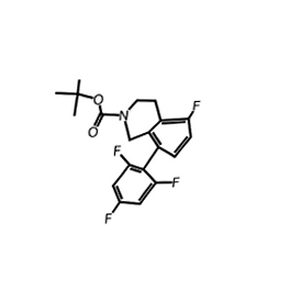 CC(C)(C)OC(=O)N1CCc2c(F)ccc(-c3c(F)cc(F)cc3F)c2C1